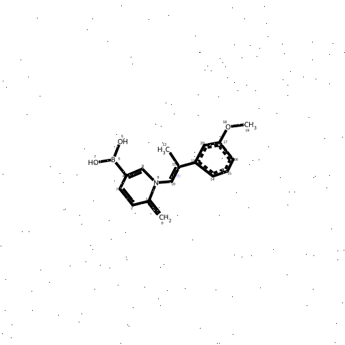 C=C1C=CC(B(O)O)=CN1/C=C(\C)c1cccc(OC)c1